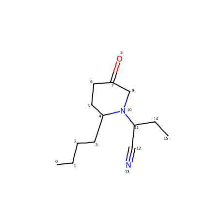 CCCCC1CCC(=O)CN1C(C#N)CC